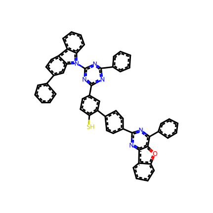 Sc1ccc(-c2nc(-c3ccccc3)nc(-n3c4ccccc4c4ccc(-c5ccccc5)cc43)n2)cc1-c1ccc(-c2nc(-c3ccccc3)c3oc4ccccc4c3n2)cc1